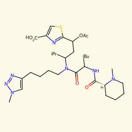 CCC(C)C(NC(=O)[C@H]1CCCCN1C)C(=O)N(CCCCc1cn(C)nn1)C(CC(OC(C)=O)c1nc(C(=O)O)cs1)C(C)C